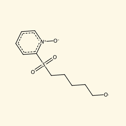 [O]CCCCCS(=O)(=O)c1cccc[n+]1[O-]